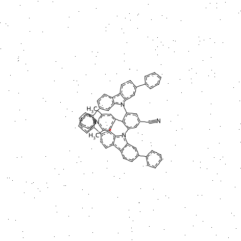 Cc1cc(-c2c(-n3c4cc(-c5ccccc5)ccc4c4ccc(-c5ccccc5)cc43)cc(C#N)cc2-n2c3cc(-c4ccccc4)ccc3c3ccc(-c4ccccc4)cc32)cc(C)n1